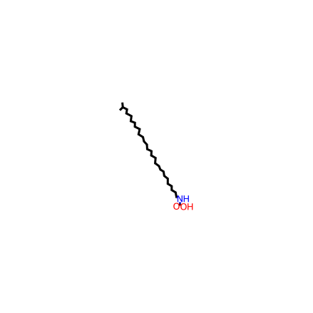 CC(C)CCCCCCCCCCCCCCCCCCCCCCCCCCNC(=O)O